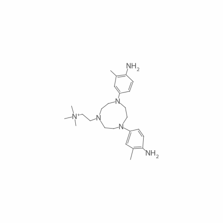 Cc1cc(N2CCN(CC[N+](C)(C)C)CCN(c3ccc(N)c(C)c3)CC2)ccc1N